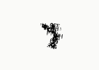 CN1CCN(c2ccc(C(=O)Nc3n[nH]c4c3CN(S(=O)(=O)c3cc(F)cc(F)c3)C4(C)C)c(NC(=O)C(F)(F)F)c2)CC1